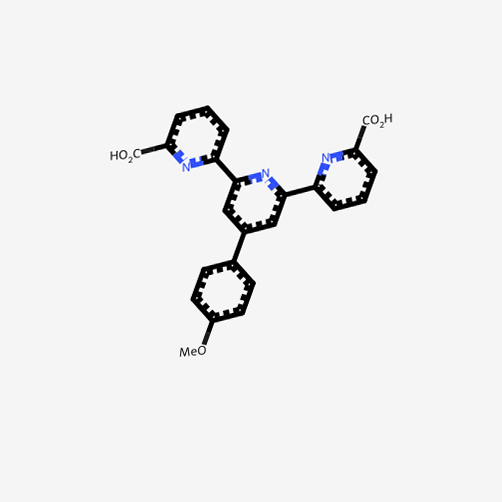 COc1ccc(-c2cc(-c3cccc(C(=O)O)n3)nc(-c3cccc(C(=O)O)n3)c2)cc1